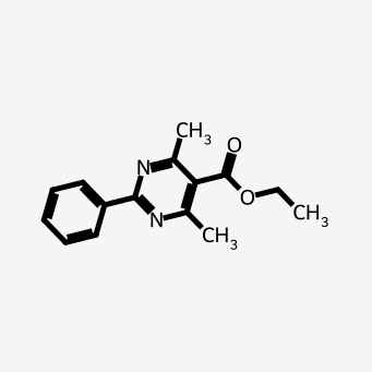 CCOC(=O)c1c(C)nc(-c2ccccc2)nc1C